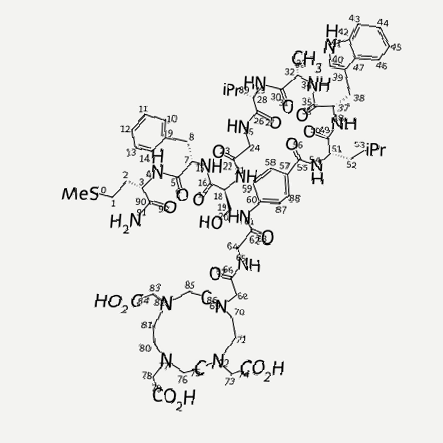 CSCC[C@H](NC(=O)[C@H](Cc1ccccc1)NC(=O)[C@H](CO)NC(=O)CNC(=O)[C@@H](NC(=O)[C@H](C)NC(=O)[C@H](Cc1c[nH]c2ccccc12)NC(=O)[C@H](CC(C)C)NC(=O)c1ccc(NC(=O)CNC(=O)CN2CCN(CC(=O)O)CCN(CC(=O)O)CCN(CC(=O)O)CC2)cc1)C(C)C)C(N)=O